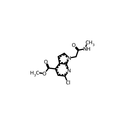 CNC(=O)Cn1ccc2c(C(=O)OC)cc(Cl)nc21